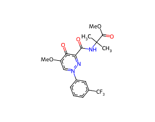 COC(=O)C(C)(C)NC(=O)c1nn(-c2cccc(C(F)(F)F)c2)cc(OC)c1=O